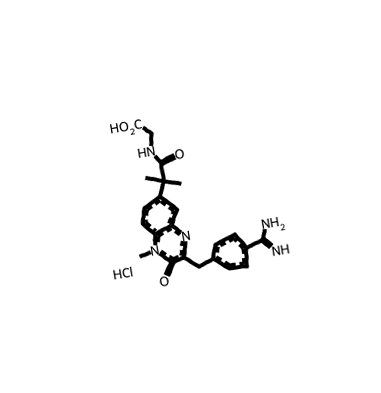 Cl.Cn1c(=O)c(Cc2ccc(C(=N)N)cc2)nc2cc(C(C)(C)C(=O)NCC(=O)O)ccc21